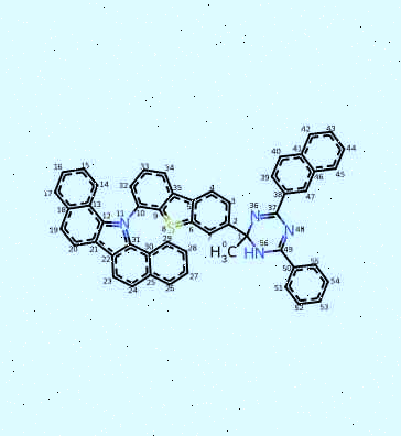 CC1(c2ccc3c(c2)sc2c(-n4c5c6ccccc6ccc5c5ccc6ccccc6c54)cccc23)N=C(c2ccc3ccccc3c2)N=C(c2ccccc2)N1